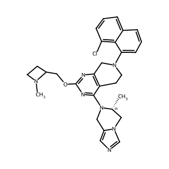 C[C@@H]1Cn2cncc2CN1c1nc(OCC2CCN2C)nc2c1CCN(c1cccc3cccc(Cl)c13)C2